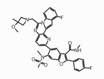 CNC(=O)c1c(-c2ccc(F)cc2)oc2cc(N(C)S(C)(=O)=O)c(-c3ccc4nc(CN5CC(C)(OC)C5)n5c6cccc(F)c6cc5c4n3)cc12